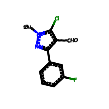 CC(C)(C)n1nc(-c2cccc(F)c2)c(C=O)c1Cl